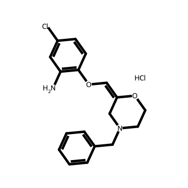 Cl.Nc1cc(Cl)ccc1OC=C1CN(Cc2ccccc2)CCO1